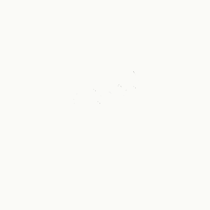 CCOCCn1c(-c2ccc(N3[C@@H](C)CC[C@@H]3C)nc2)nc2cc(CO)ccc21